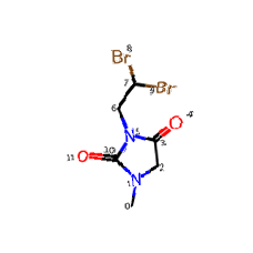 CN1CC(=O)N(CC(Br)Br)C1=O